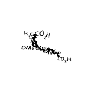 COc1cc2sc(C(=O)C[C@H](C)C(=O)O)cc2cc1OCCCOc1nc2cc(C(=O)CCC(=O)O)sc2cc1OC